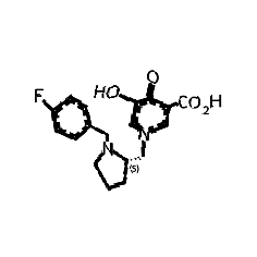 O=C(O)c1cn(C[C@@H]2CCCN2Cc2ccc(F)cc2)cc(O)c1=O